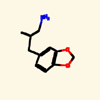 CC(CN)Cc1ccc2c(c1)OCO2